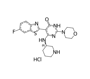 Cl.O=c1[nH]c(N2CCOCC2)nc(N[C@@H]2CCCNC2)c1-c1nc2ccc(F)cc2s1